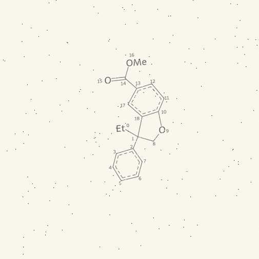 CCC1(c2ccccc2)COc2ccc(C(=O)OC)cc21